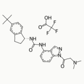 CN(C)CC(=O)n1ncc2c(NC(=O)N[C@@H]3CCc4cc(C(C)(C)C)ccc43)cccc21.O=C(O)C(F)(F)F